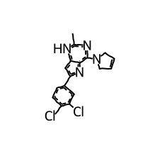 Cc1nc(N2CC=CC2)c2nc(-c3ccc(Cl)c(Cl)c3)cc-2[nH]1